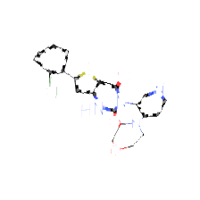 O=c1[nH]c2cc(-c3ccccc3Cl)sc2c(=O)n1-c1cnccc1N1CCOCC1